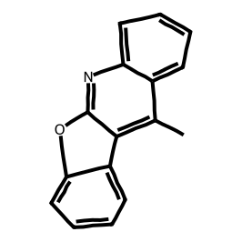 Cc1c2ccccc2nc2oc3ccccc3c12